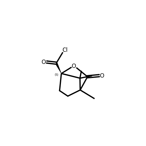 CC12CC[C@](C(=O)Cl)(OC1=O)C2(C)C